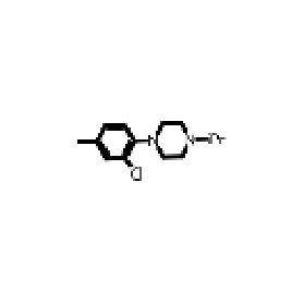 Cc1ccc(N2CCN(C(C)C)CC2)c(Cl)c1